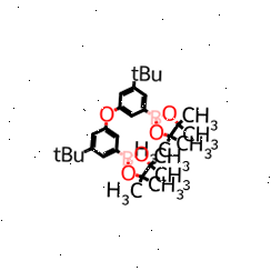 CC(C)(C)c1cc(Oc2cc(B3OC(C)(C)C(C)(C)O3)cc(C(C)(C)C)c2)cc(B2OC(C)(C)C(C)(C)O2)c1